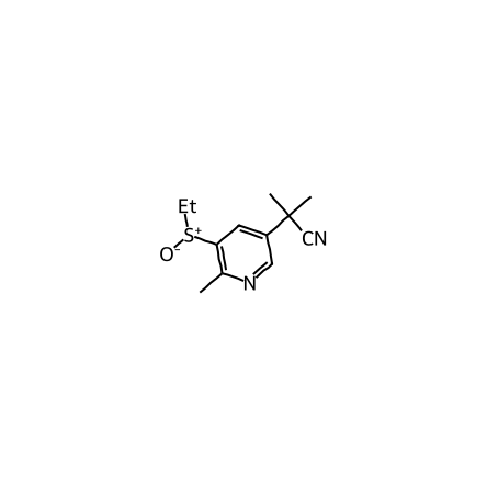 CC[S+]([O-])c1cc(C(C)(C)C#N)cnc1C